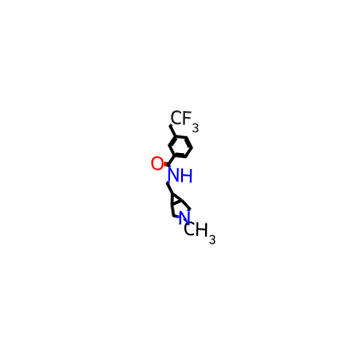 CN1CC2C(CNC(=O)c3cccc(CC(F)(F)F)c3)C2C1